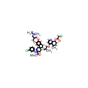 COC(=O)C1(Nc2cccc(Cl)c2)CCC2(CC1)c1cc3c(cc1C[C@@H]2C[C@@H](C)COc1ccnc2c1[C@H](C)CC[C@H]2OC(=O)CCl)OCC(CN(C)C)CO3